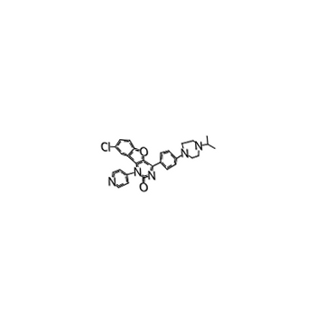 CC(C)N1CCN(c2ccc(-c3nc(=O)n(-c4ccncc4)c4c3oc3ccc(Cl)cc34)cc2)CC1